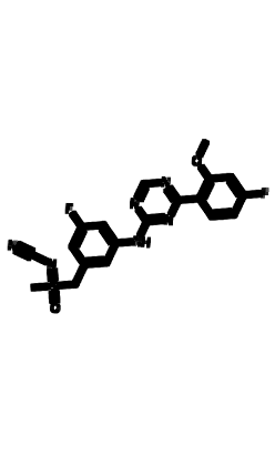 COc1cc(F)ccc1-c1ncnc(Nc2cc(F)cc(CS(C)(=O)=NC#N)c2)n1